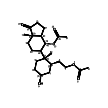 CC(=O)OCC[C@H]1C[C@@H](O)CC[C@]1(C)C1CC[C@]2(C)C(=O)CCC2[C@@H]1OC(C)=O